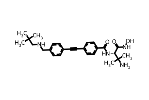 CC(C)(C)CNCc1ccc(C#Cc2ccc(C(=O)N[C@H](C(=O)NO)C(C)(C)N)cc2)cc1